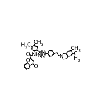 Cc1cc2c(cc1C)CN(CCc1ccc(-n3nnc(-c4cc(C)c(C)cc4NC(=O)c4cc(=O)c5ccccc5o4)n3)cc1)CC2